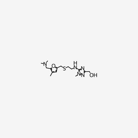 Cc1cc(CSCCNc2nc(CO)nn2C)oc1CN(C)C